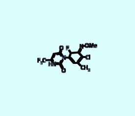 CON=C1C(Cl)=C(C)C=C(n2c(=O)cc(C(F)(F)F)[nH]c2=O)C1F